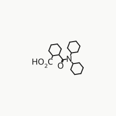 O=C(O)C1CCCCC1C(=O)N(C1CCCCC1)C1CCCCC1